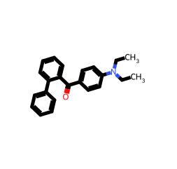 CCN(CC)c1ccc(C(=O)c2ccccc2-c2ccccc2)cc1